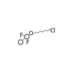 Fc1cc(OCCCCCCCCCl)cc(F)c1-c1ccccc1